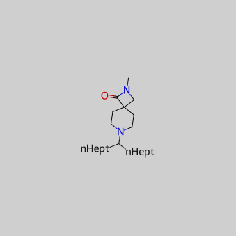 CCCCCCCC(CCCCCCC)N1CCC2(CC1)CN(C)C2=O